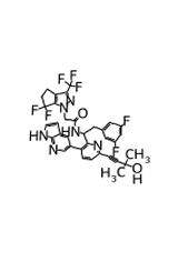 CC(C)(O)C#Cc1ccc(-c2cnc3[nH]ccc3c2)c(C(Cc2cc(F)cc(F)c2)NC(=O)Cn2nc(C(F)(F)F)c3c2C(F)(F)CC3)n1